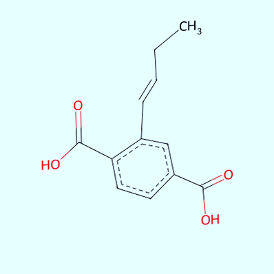 CCC=Cc1cc(C(=O)O)ccc1C(=O)O